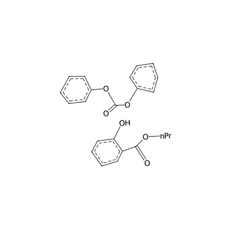 CCCOC(=O)c1ccccc1O.O=C(Oc1ccccc1)Oc1ccccc1